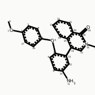 COc1ccc(Oc2ccc(N)cc2-c2cn(C)c(=O)c3ccccc23)cc1